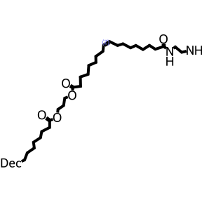 CCCCCCCCCCCCCCCCCC(=O)OCCCOC(=O)CCCCCCC/C=C\CCCCCCCC(=O)NCCN